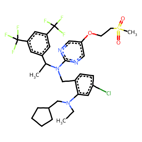 CCN(CC1CCCC1)c1cc(Cl)ccc1CN(c1ncc(OCCS(C)(=O)=O)cn1)C(C)c1cc(C(F)(F)F)cc(C(F)(F)F)c1